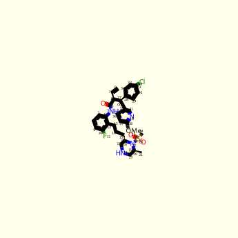 C=C[C@H](C(=O)Nc1cccc(F)c1CCC[C@H]1CNC[C@H](C)N1S(C)(=O)=O)[C@@H](c1ccc(Cl)cc1)c1ccc(OC)nc1